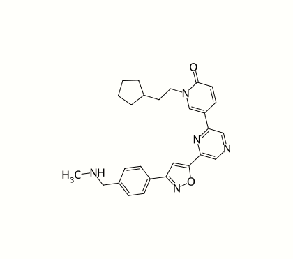 CNCc1ccc(-c2cc(-c3cncc(-c4ccc(=O)n(CCC5CCCC5)c4)n3)on2)cc1